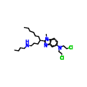 CCCCCCC(CCCNCCCC)c1nc2cc(N(CCCl)CCCl)ccc2n1C